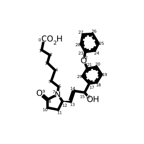 O=C(O)CCCCCCN1C(=O)CC[C@@H]1C=CC(O)c1cccc(Oc2ccccc2)c1